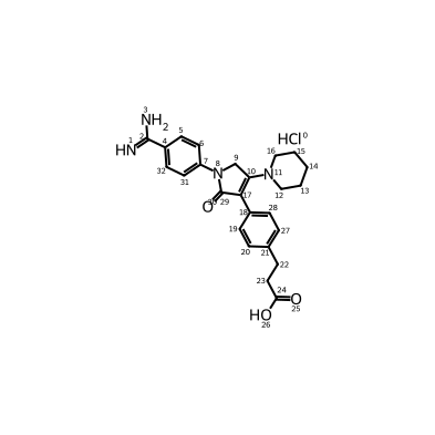 Cl.N=C(N)c1ccc(N2CC(N3CCCCC3)=C(c3ccc(CCC(=O)O)cc3)C2=O)cc1